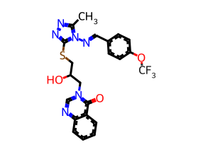 Cc1nnc(SCC(O)Cn2cnc3ccccc3c2=O)n1N=Cc1ccc(OC(F)(F)F)cc1